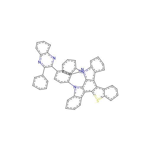 N#Cc1cc(-c2nc3ccccc3nc2-c2ccccc2)ccc1-n1c2ccccc2c2c3sc4ccccc4c3c3c4ccccc4n(-c4ccccc4)c3c21